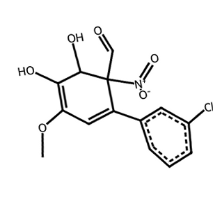 COC1=C(O)C(O)C(C=O)([N+](=O)[O-])C(c2cccc(Cl)c2)=C1